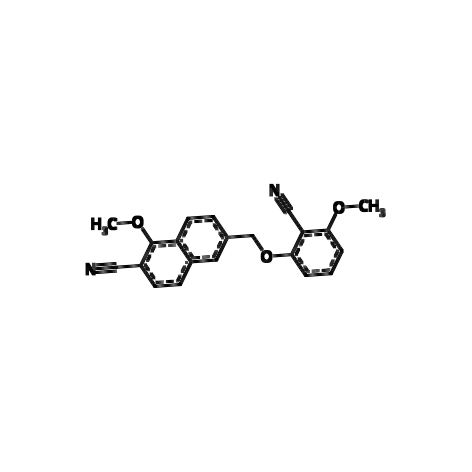 COc1cccc(OCc2ccc3c(OC)c(C#N)ccc3c2)c1C#N